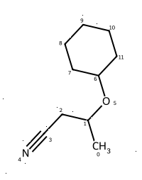 CC(CC#N)OC1CCCCC1